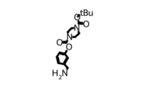 CC(C)(C)OC(=O)N1CCN(C(=O)Oc2cccc(CN)c2)CC1